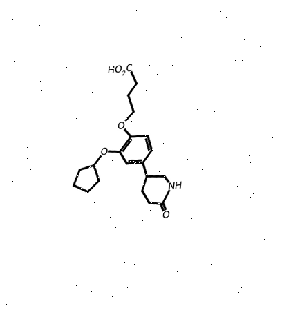 O=C(O)CCCOc1ccc(C2CCC(=O)NC2)cc1OC1CCCC1